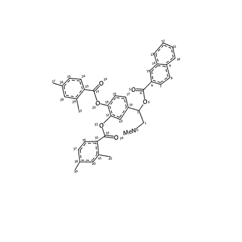 CNCC(OC(=O)c1ccc2ccccc2c1)c1ccc(OC(=O)c2ccc(C)cc2C)c(OC(=O)c2ccc(C)cc2C)c1